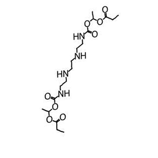 CCC(=O)OC(C)OC(=O)NCCNCCNCCNC(=O)OC(C)OC(=O)CC